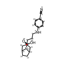 N#Cc1ccc(NCCCN2CC3CCC(C2)N3C(=O)O)cc1